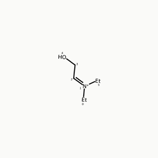 CC[N+](=CCO)CC